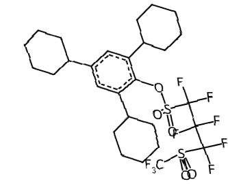 O=S(=O)(Oc1c(C2CCCCC2)cc(C2CCCCC2)cc1C1CCCCC1)C(F)(F)C(F)(F)C(F)(F)S(=O)(=O)C(F)(F)F